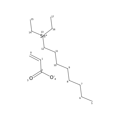 C=CC(=O)[O-].CCCCCCC[CH2][Sn+]([CH2]C)[CH2]C